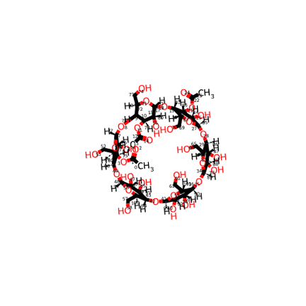 CC(=O)O[C@@H]1[C@@H](O)[C@H]2O[C@@H]3[C@H](OC(C)=O)[C@@H](O)[C@@H](O[C@@H]4[C@H](OC(C)=O)[C@@H](O)[C@@H](O[C@H]5[C@H](O)[C@@H](O)[C@@H](O[C@H]6[C@H](O)[C@@H](O)[C@@H](O[C@H]7[C@H](O)[C@@H](O)[C@@H](O[C@H]1[C@@H](CO)O2)O[C@@H]7CO)O[C@@H]6CO)O[C@@H]5CO)O[C@@H]4CO)O[C@@H]3CO